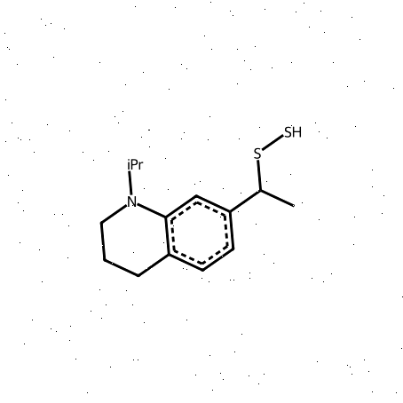 CC(SS)c1ccc2c(c1)N(C(C)C)CCC2